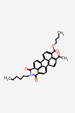 CCCCCCN1C(=O)c2ccc3c4ccc(C(C)=O)c5c(C(=O)OCCCC)ccc(c6ccc(c2c36)C1=O)c54